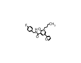 CCCCn1cc(-c2ccco2)cc(C(=O)NCc2ccc(F)cc2)c1=O